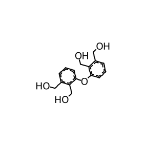 OCc1cccc(Oc2cccc(CO)c2CO)c1CO